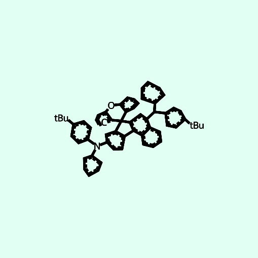 CC(C)(C)c1ccc(C(c2ccccc2)c2cc3c(c4ccccc24)-c2ccc(N(c4ccccc4)c4ccc(C(C)(C)C)cc4)cc2C32c3ccccc3Oc3ccccc32)cc1